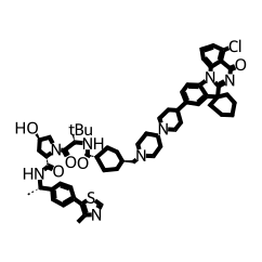 Cc1ncsc1-c1ccc([C@H](C)NC(=O)[C@@H]2C[C@@H](O)CN2C(=O)[C@@H](NC(=O)[C@H]2CC[C@H](CN3CCC(N4CCC(c5ccc6c(c5)C5(CCCCC5)c5nc(=O)c7c(Cl)cccc7n5-6)CC4)CC3)CC2)C(C)(C)C)cc1